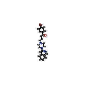 O=C(CCCN1CCN(c2cc3ccccc3cn2)CC1)c1ccc(Br)cc1